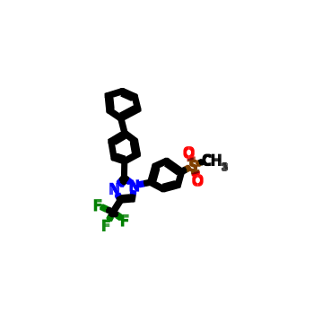 CS(=O)(=O)c1ccc(-n2cc(C(F)(F)F)nc2-c2ccc(-c3ccccc3)cc2)cc1